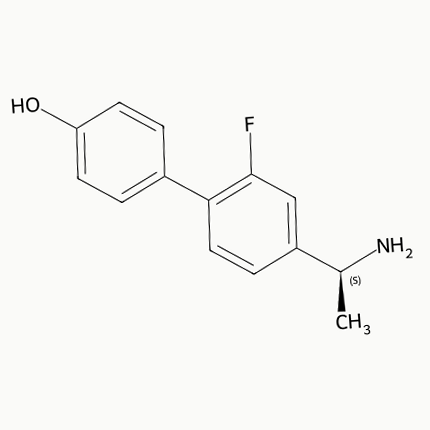 C[C@H](N)c1ccc(-c2ccc(O)cc2)c(F)c1